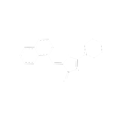 O=C1N=C(N2CCSCC2)SC1=Cc1cccc2ccccc12